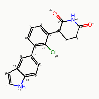 O=C1CCC(c2cccc(-c3ccc4[nH]ccc4c3)c2Cl)C(=O)N1